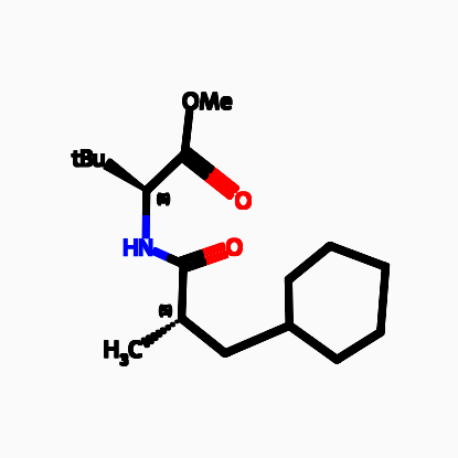 COC(=O)[C@@H](NC(=O)[C@@H](C)CC1CCCCC1)C(C)(C)C